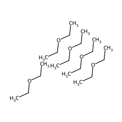 CCOCC.CCOCC.CCOCC.CCOCC.CCOCC